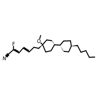 CCCCC[C@H]1CC[C@H]([C@H]2CC[C@@](CCC=CC=C(F)C#N)(OC)CC2)CC1